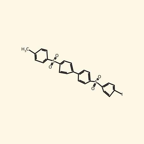 Cc1ccc(S(=O)(=O)c2ccc(-c3ccc(S(=O)(=O)c4ccc(I)cc4)cc3)cc2)cc1